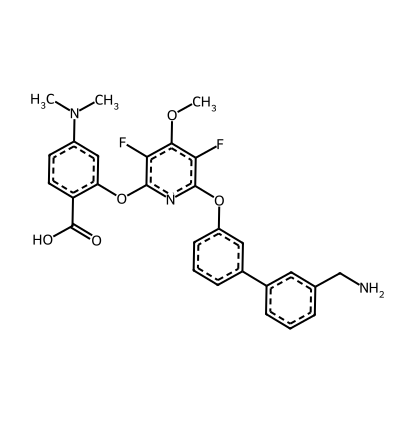 COc1c(F)c(Oc2cccc(-c3cccc(CN)c3)c2)nc(Oc2cc(N(C)C)ccc2C(=O)O)c1F